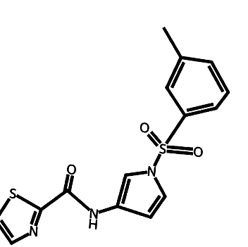 Cc1cccc(S(=O)(=O)n2ccc(NC(=O)c3nccs3)c2)c1